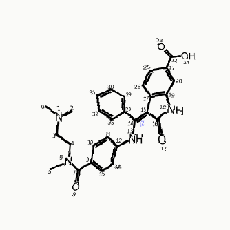 CN(C)CCN(C)C(=O)c1ccc(N/C(=C2\C(=O)Nc3cc(C(=O)O)ccc32)c2ccccc2)cc1